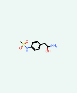 CS(=O)(=O)Nc1ccc(CC(N)O)cc1